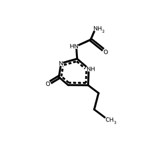 CCCc1cc(=O)nc(NC(N)=O)[nH]1